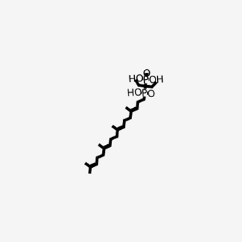 CCC(CC)(P(=O)(O)O)P(=O)(O)CC/C=C(\C)CC/C=C(\C)CC/C=C(\C)CCC=C(C)C